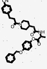 CC(NC(=O)CC1CCN(C(=O)CCc2ccc(C#N)cc2)CC1)C(=O)Oc1ccc(OCc2ccccc2)cc1